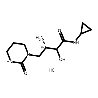 Cl.N[C@@H](CN1CCCNC1=O)C(O)C(=O)NC1CC1